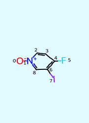 [O-][n+]1ccc(F)c(I)c1